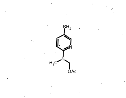 CC(=O)OCN(C)c1ccc(N)cn1